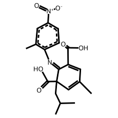 CC1=CC(CC(C)C)(C(=O)O)C(=Nc2ccc([N+](=O)[O-])cc2C)C(C(=O)O)=C1